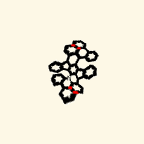 c1ccc(-c2ccccc2C2c3ccccc3C3c4ccccc4-c4c3c2c2c3c4N(c4ccccc4-c4ccccc4)c4ccccc4C3c3ccccc3-2)cc1